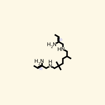 C/C=C(\N)CNCC(C)CCC(C)(C)CNC/C(N)=C/C